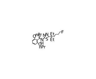 CCCOc1cccc(OCCC)c1C(=S)Nc1nnc(C(CC)(CC)CCCCF)s1